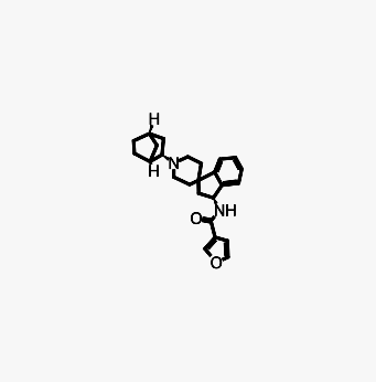 O=C(N[C@H]1CC2(CCN([C@@H]3C[C@H]4CC[C@@H]3C4)CC2)c2ccccc21)c1ccoc1